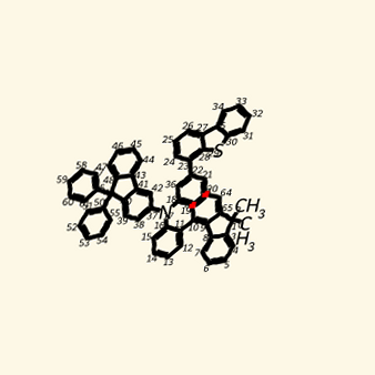 CC1(C)c2ccccc2-c2c(-c3ccccc3N(c3cccc(-c4cccc5c4sc4ccccc45)c3)c3ccc4c(c3)-c3ccccc3C4(c3ccccc3)c3ccccc3)cccc21